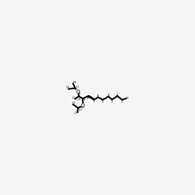 CCCC[CH]CC/C=C/C(OC(C)C)C(C)OC(C)C